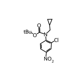 CC(C)(C)OC(=O)N(CC1CC1)c1ccc([N+](=O)[O-])cc1Cl